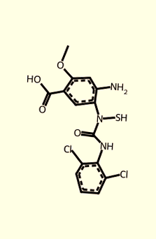 COc1cc(N)c(N(S)C(=O)Nc2c(Cl)cccc2Cl)cc1C(=O)O